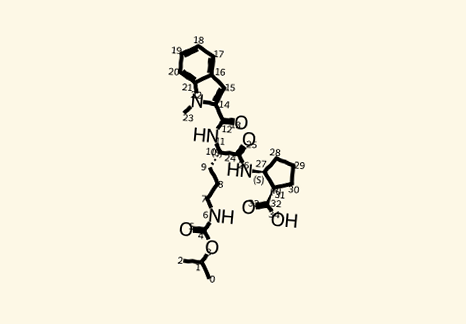 CC(C)OC(=O)NCCC[C@H](NC(=O)c1cc2ccccc2n1C)C(=O)N[C@H]1CCC[C@H]1C(=O)O